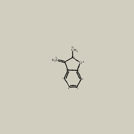 C=C1c2ccccc2OC1C